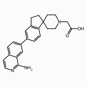 Nc1nccc2ccc(-c3ccc4c(c3)CCC43CCN(CC(=O)O)CC3)cc12